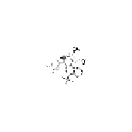 C=C(CC)C(=C)S/C(C)=C1/NC(C)(CO)C(C)(CCOC)c2c1cc(C(C)(C)C)c1ccccc21